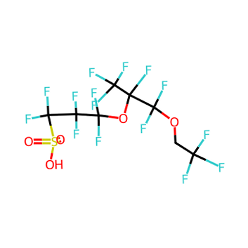 O=S(=O)(O)C(F)(F)C(F)(F)C(F)(F)OC(F)(C(F)(F)F)C(F)(F)OCC(F)(F)F